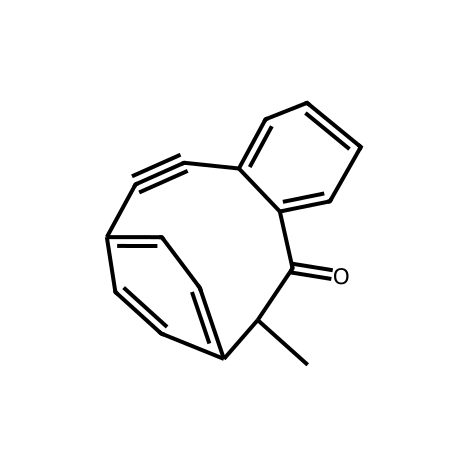 CC1C(=O)c2ccccc2C#Cc2ccc1cc2